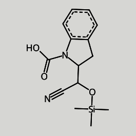 C[Si](C)(C)OC(C#N)C1Cc2ccccc2N1C(=O)O